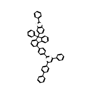 c1ccc(-c2ccc(-c3cc(-c4ccccc4)nc(-c4ccc(-c5cccc6c5-c5ccccc5C6(c5ccccc5)c5ccc6oc(-c7ccccc7)nc6c5)cc4)n3)cc2)cc1